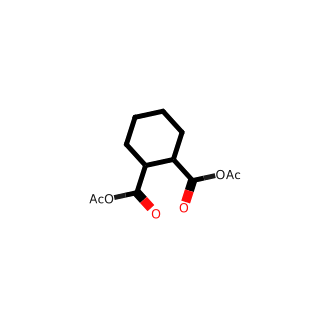 CC(=O)OC(=O)C1CCCCC1C(=O)OC(C)=O